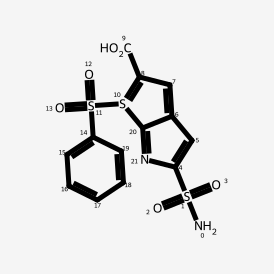 NS(=O)(=O)C1=CC2=CC(C(=O)O)=S(S(=O)(=O)c3ccccc3)C2=N1